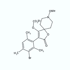 CCOC(=O)OC1=C(c2c(C)cc(C)c(Br)c2C)C(=O)OC12CCN(OC)CC2